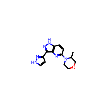 CC1COCCN1c1ccc2[nH]nc(-c3cc[nH]n3)c2n1